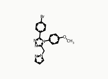 COc1ccc(-n2c(Cn3cccn3)nnc2-c2ccc(Br)cc2)cc1